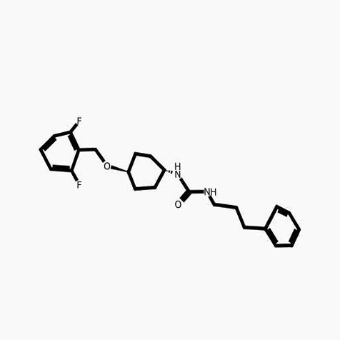 O=C(NCCCc1ccccc1)N[C@H]1CC[C@H](OCc2c(F)cccc2F)CC1